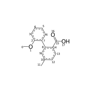 COc1ccccc1-c1cc(C)ccc1C(=O)O